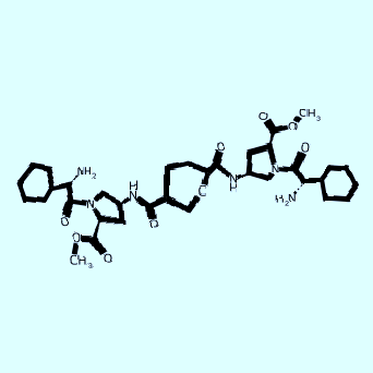 COC(=O)[C@@H]1C[C@H](NC(=O)C2CCC(C(=O)N[C@H]3C[C@@H](C(=O)OC)N(C(=O)[C@@H](N)C4CCCCC4)C3)CC2)CN1C(=O)[C@@H](N)C1CCCCC1